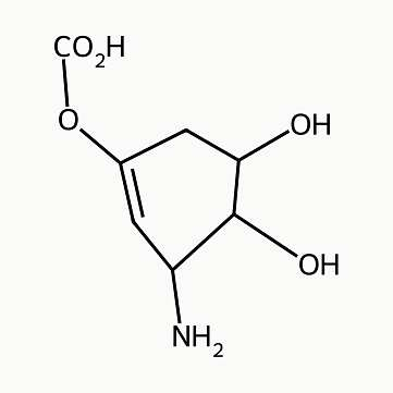 NC1C=C(OC(=O)O)CC(O)C1O